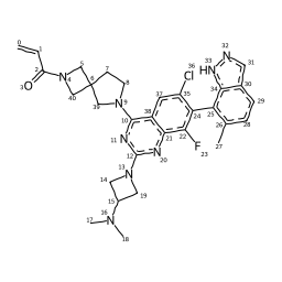 C=CC(=O)N1CC2(CCN(c3nc(N4CC(N(C)C)C4)nc4c(F)c(-c5c(C)ccc6cn[nH]c56)c(Cl)cc34)C2)C1